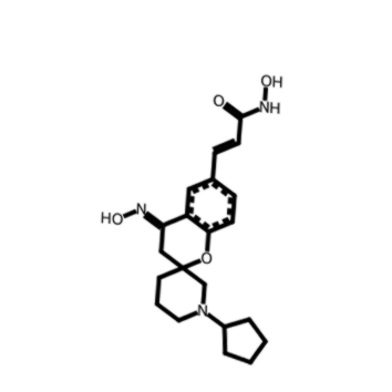 O=C(/C=C/c1ccc2c(c1)C(=NO)CC1(CCCN(C3CCCC3)C1)O2)NO